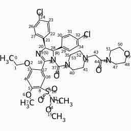 CCOc1cc(OC)c(S(=O)(=O)N(C)OC)cc1C1=N[C@@H](c2ccc(Cl)cc2)[C@@H](c2ccc(Cl)cc2)N1C(=O)N1CCN(CC(=O)N2CCOCC2)CC1